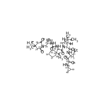 CC[C@H]1C[C@]1(NC(=O)[C@@H]1[C@@H]2[C@H](CN1C(=O)[C@@H](NC(=O)N[C@H](CN1C(=O)CC(C)(C)CC1=O)C(C)(C)C)C1(C)CCCCC1)C2(C)C)C(=O)C(=O)NC1CC1